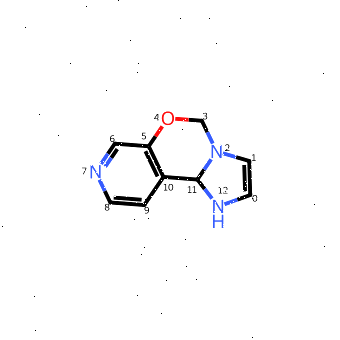 C1=CN2COc3cnccc3C2N1